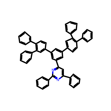 c1ccc(-c2cc(-c3cc(-c4ccc(-c5ccccc5)c(-c5ccccc5)c4)cc(-c4ccc(-c5ccccc5)c(-c5ccccc5)c4)c3)nc(-c3ccccc3)n2)cc1